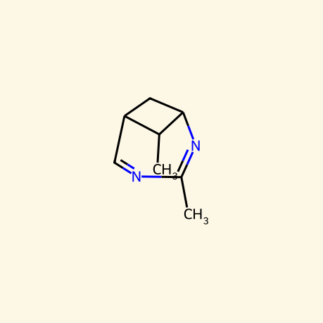 CC1=NC2CC(C=N1)C2C